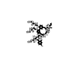 C=CC(=O)N(C)NC(=O)[C@@H]1Cc2ccc(OCCNC(=O)OC(C)(C)C)c(c2)-c2cc(ccc2OCCNC(=O)OC(C)(C)C)[C@H](N(C)C(=O)[C@H](CCNC(=O)OC(C)(C)C)NC(=O)c2ccc(C)cc2C)C(=O)N[C@@H](C)C(=O)N1